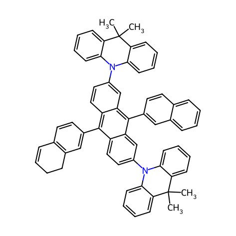 CC1(C)c2ccccc2N(c2ccc3c(-c4ccc5c(c4)CCC=C5)c4ccc(N5c6ccccc6C(C)(C)c6ccccc65)cc4c(-c4ccc5ccccc5c4)c3c2)c2ccccc21